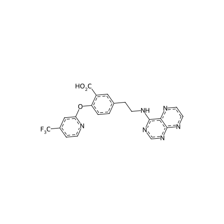 O=C(O)c1cc(CCNc2ncnc3nccnc23)ccc1Oc1cc(C(F)(F)F)ccn1